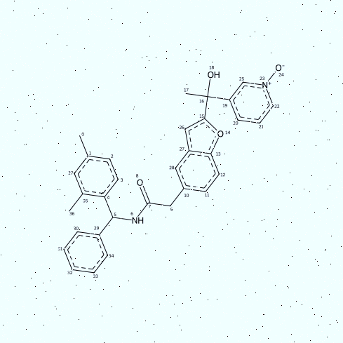 Cc1ccc(C(NC(=O)Cc2ccc3oc(C(C)(O)c4ccc[n+]([O-])c4)cc3c2)c2ccccc2)c(C)c1